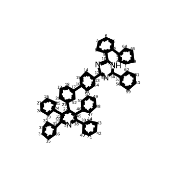 c1ccc(-c2ccccc2C2=NC(c3ccc(-c4cccc(-c5c(-c6ccccc6)c(-c6ccccc6)nc(-c6ccccc6)c5-c5ccccc5)c4)cc3)=NC(c3ccccc3)N2)cc1